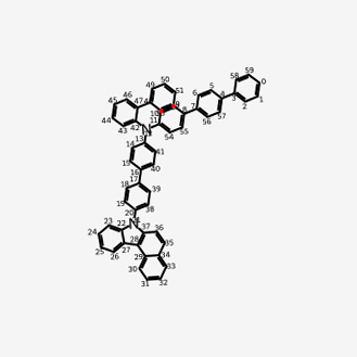 c1ccc(-c2ccc(-c3ccc(N(c4ccc(-c5ccc(-n6c7ccccc7c7c8ccccc8ccc76)cc5)cc4)c4ccccc4-c4ccccc4)cc3)cc2)cc1